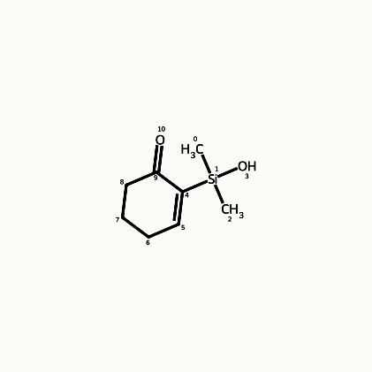 C[Si](C)(O)C1=CCCCC1=O